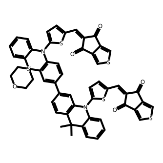 CC1(C)c2ccccc2N(c2ccc(C=C3C(=O)c4cscc4C3=O)s2)c2cc(-c3ccc4c(c3)[Si]3(CCOCC3)c3ccccc3N4c3ccc(C=C4C(=O)c5cscc5C4=O)s3)ccc21